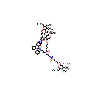 CC(=O)NC1C(C)[C@@H](OC(C)=O)C(COC(C)=O)O[C@H]1OCCCCC(=O)NCCCN(CCCN(CCCNC(=O)CCCCO[C@@H]1OC(COC(C)=O)[C@H](OC(C)=O)C(OC(C)=O)C1NC(C)=O)C(c1ccccc1)(c1ccccc1)c1ccccc1)C(=O)CCCCOCC1(NC(C)=O)COC(COC(C)=O)[C@H](OC(C)=O)C1OC(C)=O